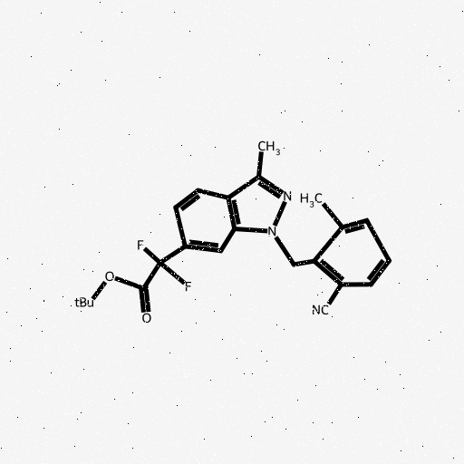 Cc1cccc(C#N)c1Cn1nc(C)c2ccc(C(F)(F)C(=O)OC(C)(C)C)cc21